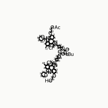 CC(=O)OCCOc1ccc(-c2nn(C3CC4(C3)CN(C(=O)OC(C)(C)C)C4OC(=O)N3CC4(CC(n5nc(-c6ccc(OCCO)cc6)c(-c6c(Cl)c(C)cc7c6cnn7C6CCCCO6)c5C)C4)C3)c(C)c2-c2c(Cl)c(C)cc3c2cnn3C2CCCCO2)cc1